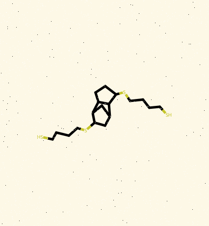 SCCCCSC1CC2CC1C1CCC(SCCCCS)C21